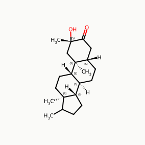 CC1CC[C@H]2[C@@H]3CC[C@H]4CC(=O)[C@@](C)(O)C[C@]4(C)[C@H]3CC[C@]12C